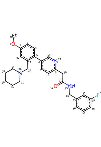 CCOc1ccc(-c2ccc(CC(=O)NCc3cccc(F)c3)nc2)c(CN2CCCCC2)c1